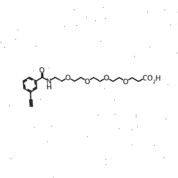 C#Cc1cccc(C(=O)NCCOCCOCCOCCOCCC(=O)O)c1